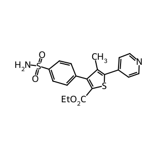 CCOC(=O)c1sc(-c2ccncc2)c(C)c1-c1ccc(S(N)(=O)=O)cc1